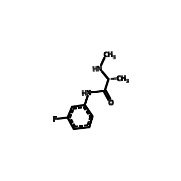 CN[C@H](C)C(=O)Nc1cccc(F)c1